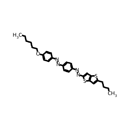 CCCCCCOc1ccc(N=Nc2ccc(N=Nc3cc4sc(CCCC)cc4s3)cc2)cc1